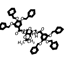 CC1(C)O[C@@H]2[C@@H](CNC(=O)c3cc(OCc4ccccc4)c(OCc4ccccc4)c(OCc4ccccc4)c3)OC[C@]2(CNC(=O)c2cc(OCc3ccccc3)c(OCc3ccccc3)c(OCc3ccccc3)c2)O1